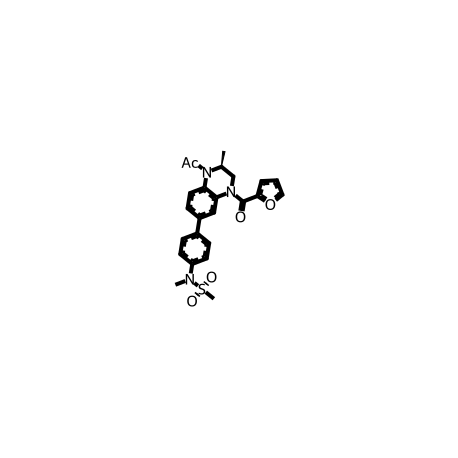 CC(=O)N1c2ccc(-c3ccc(N(C)S(C)(=O)=O)cc3)cc2N(C(=O)c2ccco2)C[C@@H]1C